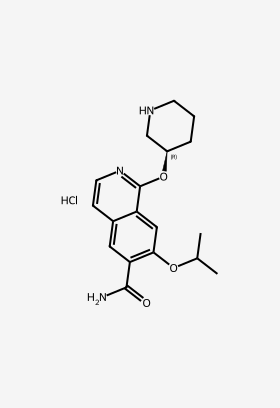 CC(C)Oc1cc2c(O[C@@H]3CCCNC3)nccc2cc1C(N)=O.Cl